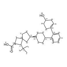 CC(C)(C)C1N(C(=O)O)CC12CC[C@@H](N1CCC(c3ccccc3C3=CCC(O)CC3)CC1)C2